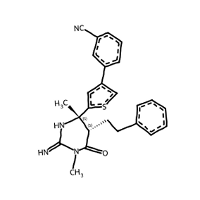 CN1C(=N)N[C@](C)(c2cc(-c3cccc(C#N)c3)cs2)[C@H](CCc2ccccc2)C1=O